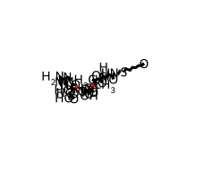 CC(C)(COP(=O)(O)OP(=O)(O)OC[C@H]1O[C@@H](n2cnc3c(N)ncnc32)[C@H](O)[C@@H]1OP(=O)(O)O)[C@@H](O)C(=O)NCCC(=O)NCCSCCCCCC=O